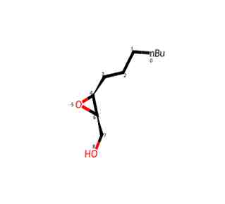 CCCCCCC[C@@H]1O[C@@H]1CO